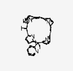 Cn1c2ccc1C(I)(c1ccccn1)C1(I)C=CC(=N1)C(I)C1(I)C=CC(=CC3=NC(=C2)C=C3)N1